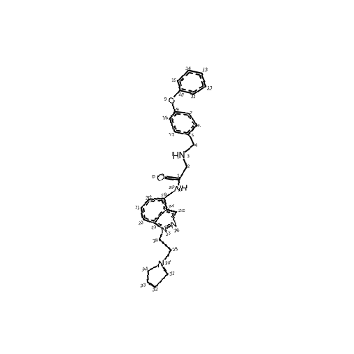 O=C(CNCc1ccc(Oc2ccccc2)cc1)Nc1cccc2c1cnn2CCN1CCCC1